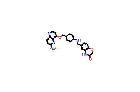 COc1ccc2nccc(OCC3CCC(NCc4ccc5c(c4)NC(=O)CO5)CC3)c2n1